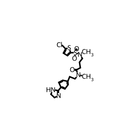 CN(CCc1ccc(C2=NCCN2)cc1)C(=O)CCCN(C)S(=O)(=O)c1ccc(Cl)s1